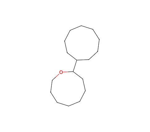 C1CCCCC(C2CCCCCCCO2)CCC1